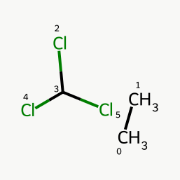 CC.ClC(Cl)Cl